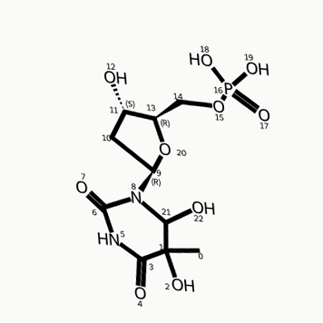 CC1(O)C(=O)NC(=O)N([C@H]2C[C@H](O)[C@@H](COP(=O)(O)O)O2)C1O